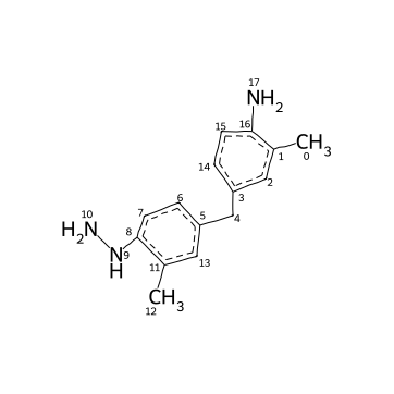 Cc1cc(Cc2ccc(NN)c(C)c2)ccc1N